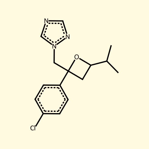 CC(C)C1CC(Cn2cncn2)(c2ccc(Cl)cc2)O1